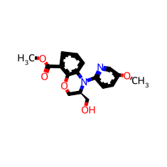 COC(=O)c1cccc2c1OC[C@H](CO)N2c1ccc(OC)cn1